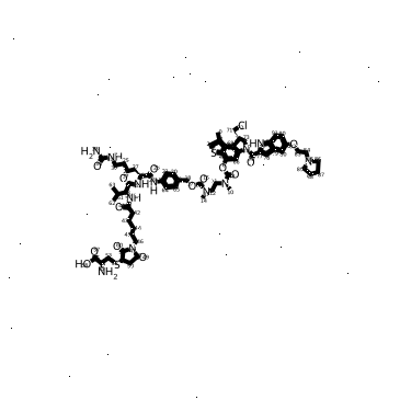 Cc1csc2c(OC(=O)N(C)CCN(C)C(=O)OCc3ccc(NC(=O)[C@H](CCCCNC(N)=O)NC(=O)[C@@H](NC(=O)CCCCCN4C(=O)CC(SC[C@H](N)C(=O)O)C4=O)C(C)C)cc3)cc3c(c12)[C@H](CCl)CN3C(=O)c1cc2cc(OCCN3CCCC3)ccc2[nH]1